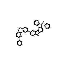 O=P(c1ccccc1)(c1ccccc1)c1ccc2oc3ccc(-c4ccc5ccc6ccc(-c7ccccc7)nc6c5n4)cc3c2c1